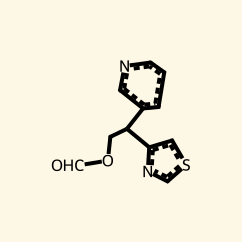 O=COCC(c1cccnc1)c1cscn1